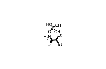 CCC(CC)C(N)=O.O=P(O)(O)O